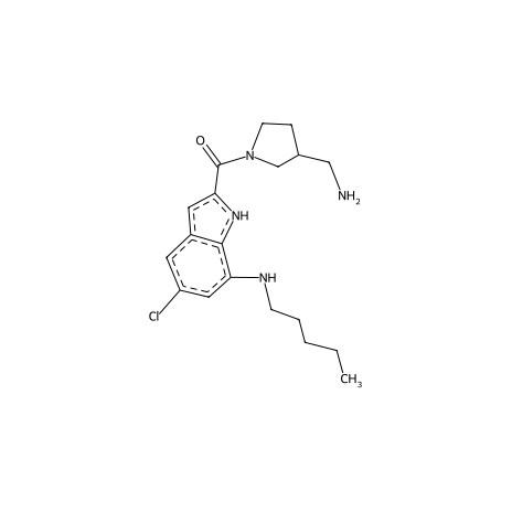 CCCCCNc1cc(Cl)cc2cc(C(=O)N3CCC(CN)C3)[nH]c12